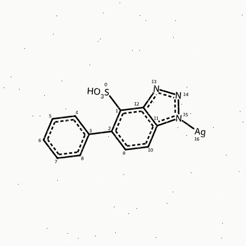 O=S(=O)(O)c1c(-c2ccccc2)ccc2c1nn[n]2[Ag]